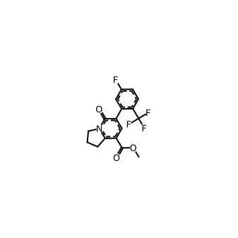 COC(=O)c1cc(-c2cc(F)ccc2C(F)(F)F)c(=O)n2c1CCC2